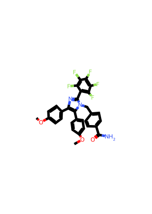 COc1ccc(-c2nc(-c3c(F)c(F)c(F)c(F)c3F)n(Cc3ccc(C(N)=O)cc3)c2-c2ccc(OC)cc2)cc1